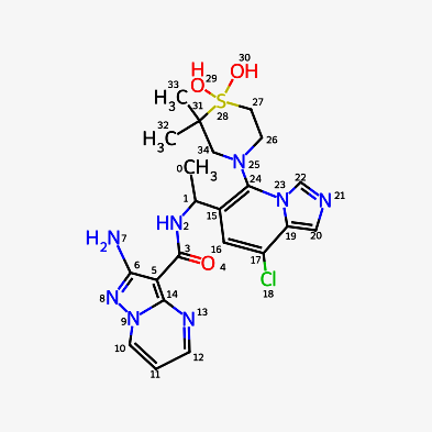 CC(NC(=O)c1c(N)nn2cccnc12)c1cc(Cl)c2cncn2c1N1CCS(O)(O)C(C)(C)C1